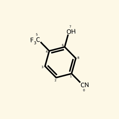 N#Cc1ccc(C(F)(F)F)c(O)c1